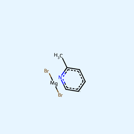 Cc1cc[c]cn1.[Br][Mg][Br]